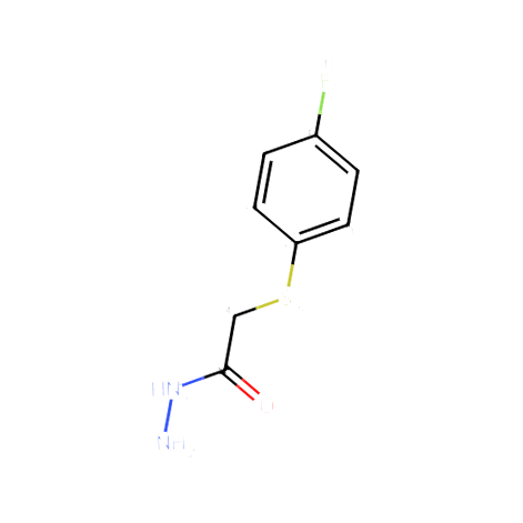 NNC(=O)CSc1ccc(F)cc1